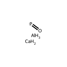 O=[P].[AlH3].[CaH2]